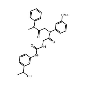 COc1cccc(N(CC(=O)N(C)c2ccccc2)C(=O)CNC(=O)Nc2cccc(C(C)O)c2)c1